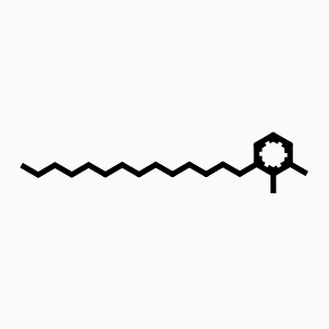 CCCCCCCCCCCCCCc1cccc(C)c1C